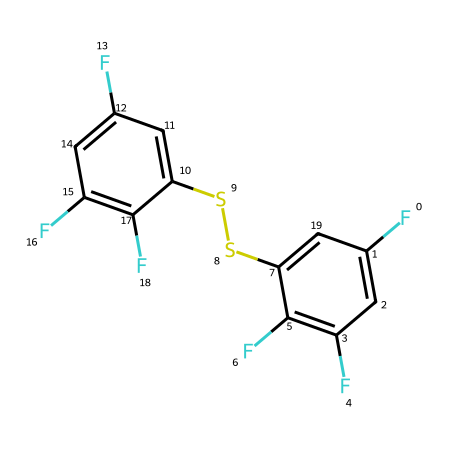 Fc1cc(F)c(F)c(SSc2cc(F)cc(F)c2F)c1